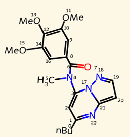 CCCCc1cc(N(C)C(=O)c2cc(OC)c(OC)c(OC)c2)n2nccc2n1